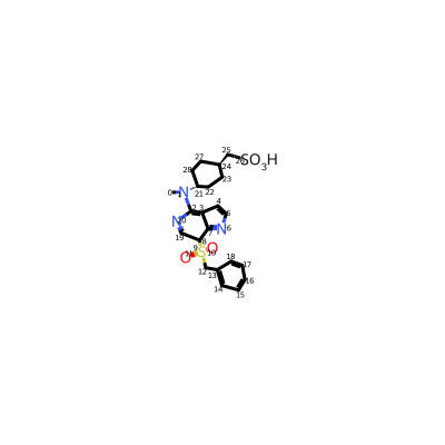 CN(C1=C2C=CN=C2C(S(=O)(=O)Cc2ccccc2)C=N1)[C@H]1CC[C@H](CS(=O)(=O)O)CC1